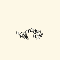 CC(=O)c1ccc(OC[C@H](O)COc2cccc(C[C@H](OC(C)C)C(=O)O)c2)c(C)c1